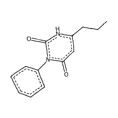 CCCc1cc(=O)n(-c2ccccc2)c(=O)[nH]1